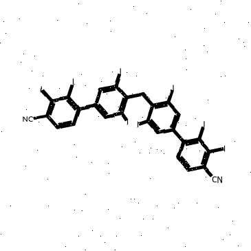 N#Cc1ccc(-c2cc(I)c(Cc3c(I)cc(-c4ccc(C#N)c(I)c4I)cc3I)c(I)c2)c(I)c1I